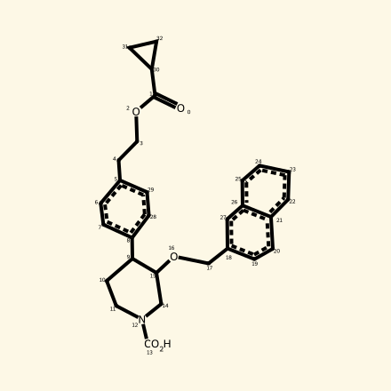 O=C(OCCc1ccc(C2CCN(C(=O)O)CC2OCc2ccc3ccccc3c2)cc1)C1CC1